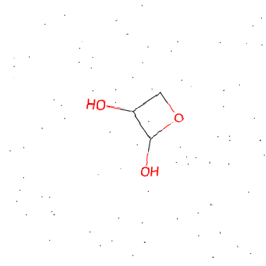 OC1COC1O